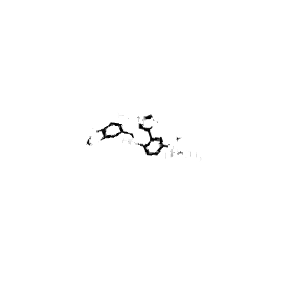 CN[S+]([O-])c1ccc(NCc2ccc3c(c2)OCO3)c(-c2cn(C)cn2)c1